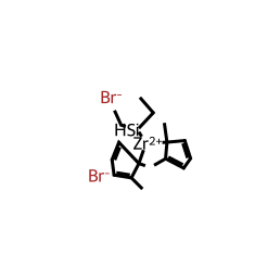 CC[SiH](CC)[Zr+2]([C]1(C)C=CC=C1C)[C]1(C)C=CC=C1C.[Br-].[Br-]